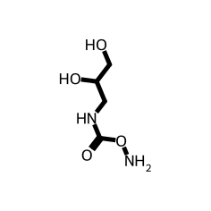 NOC(=O)NCC(O)CO